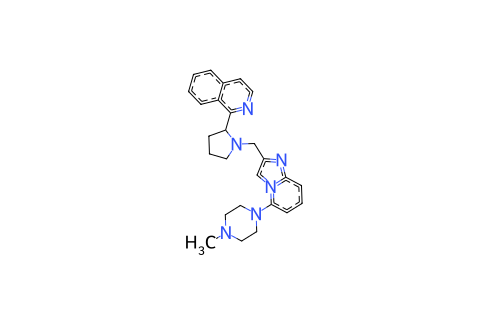 CN1CCN(c2cccc3nc(CN4CCCC4c4nccc5ccccc45)cn23)CC1